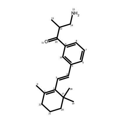 CC1=C(C=Cc2cccc(C(=O)C(C)CN)c2)C(C)(C)CCC1